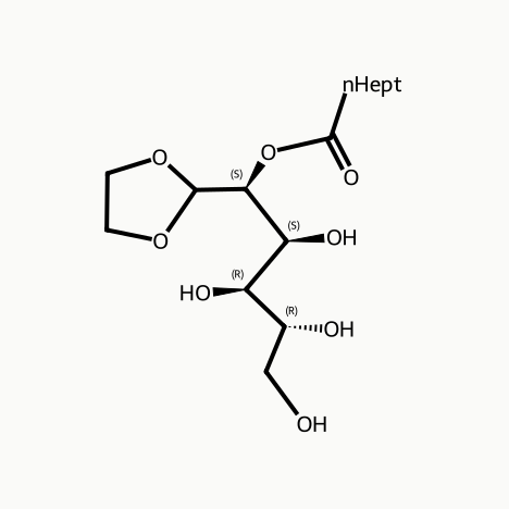 CCCCCCCC(=O)O[C@H](C1OCCO1)[C@@H](O)[C@H](O)[C@H](O)CO